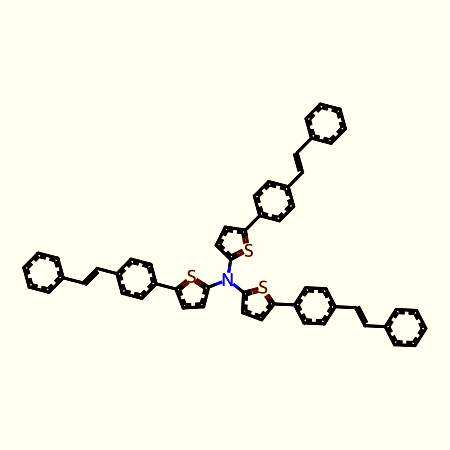 C(=C\c1ccc(-c2ccc(N(c3ccc(-c4ccc(/C=C/c5ccccc5)cc4)s3)c3ccc(-c4ccc(/C=C/c5ccccc5)cc4)s3)s2)cc1)/c1ccccc1